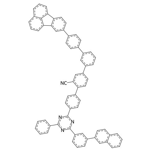 N#Cc1cc(-c2cccc(-c3ccc(-c4ccc5c(c4)-c4cccc6cccc-5c46)cc3)c2)ccc1-c1ccc(-c2nc(-c3ccccc3)nc(-c3cccc(-c4ccc5ccccc5c4)c3)n2)cc1